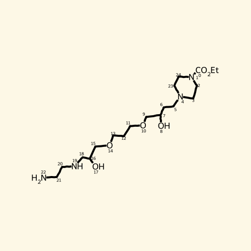 CCOC(=O)N1CCN(CCC(O)COCCCOCC(O)CNCCN)CC1